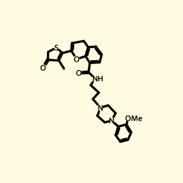 COc1ccccc1N1CCN(CCCNC(=O)c2cccc3c2OC(C2=C(C)C(=O)CS2)=CC3)CC1